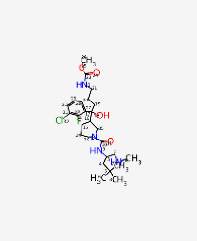 CNCC(CC(C)(C)C)NC(=O)N1CCCC(C(O)(CCCNC(=O)OC)c2cccc(Cl)c2F)C1